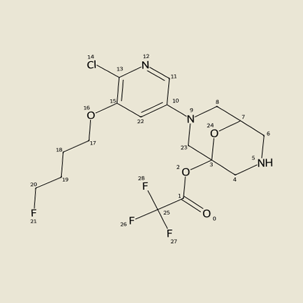 O=C(OC12CNCC(CN(c3cnc(Cl)c(OCCCCF)c3)C1)O2)C(F)(F)F